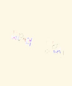 O=C(O)NC(c1ccccc1)c1cccc(OCCCCCCCCNC[C@@H](O)c2ccc(O)c3[nH]c(=O)ccc23)c1